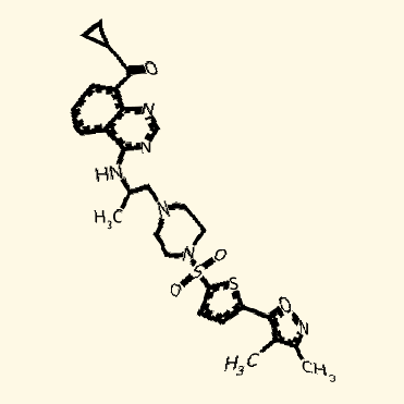 Cc1noc(-c2ccc(S(=O)(=O)N3CCN(CC(C)Nc4ncnc5c(C(=O)C6CC6)cccc45)CC3)s2)c1C